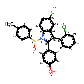 Cc1ccc([S+]([O-])n2c(-c3ccc(O)cc3)c(-c3ccccc3Cl)c3cc(Cl)ccc32)cc1